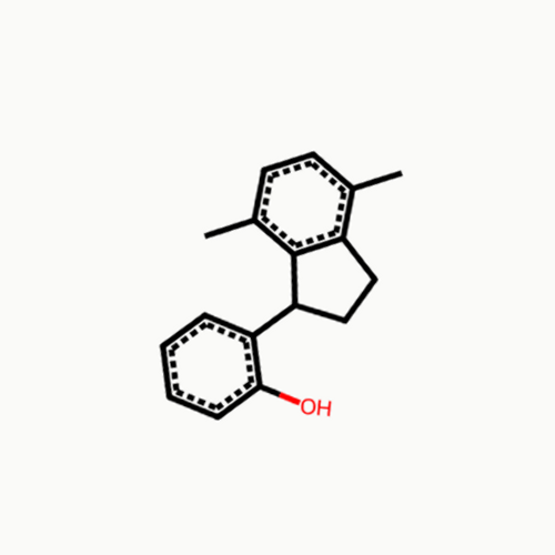 Cc1ccc(C)c2c1CCC2c1ccccc1O